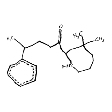 CC(CCC(=O)C1NCCCC1(C)C)c1ccccc1